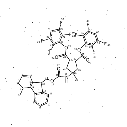 CC1CC=CC2=C1c1ccccc1C2COC(=O)NC(C)(CCC(=O)Oc1c(F)c(F)cc(F)c1F)CCC(=O)Oc1c(F)c(F)cc(F)c1F